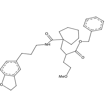 COCCC(CC1(C(=O)NCCCc2ccc3c(c2)CCO3)CCCCC1)C(=O)OCc1ccccc1